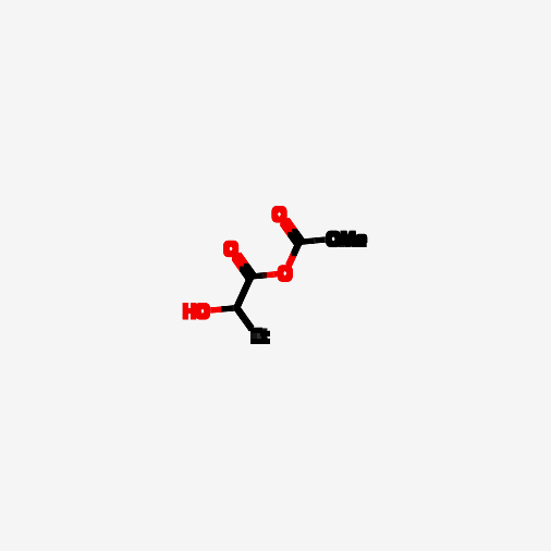 CCC(O)C(=O)OC(=O)OC